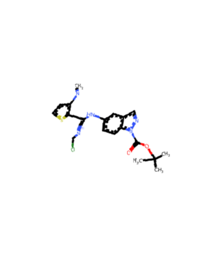 C=Nc1ccsc1/C(=N\CCl)Nc1ccc2c(cnn2C(=O)OC(C)(C)C)c1